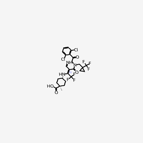 C[C@]1(C(=O)O)CC[C@H](N/C(=C(\C=N)C(=O)N(CC(=O)c2c(Cl)cccc2Cl)CC2(C(F)(F)F)CC2)C(F)(F)F)CC1